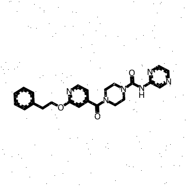 O=C(Nc1cnccn1)N1CCN(C(=O)c2ccnc(OCCc3ccccc3)c2)CC1